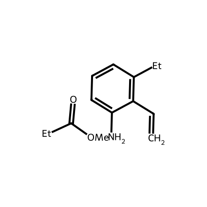 C=Cc1c(N)cccc1CC.CCC(=O)OC